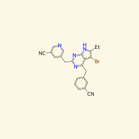 CCc1[nH]c2nc(Cc3cncc(C#N)c3)nc(Cc3cccc(C#N)c3)c2c1Br